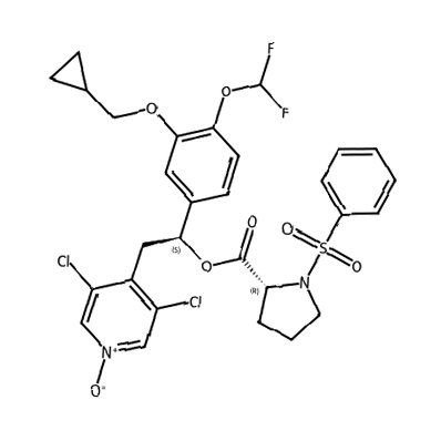 O=C(O[C@@H](Cc1c(Cl)c[n+]([O-])cc1Cl)c1ccc(OC(F)F)c(OCC2CC2)c1)[C@H]1CCCN1S(=O)(=O)c1ccccc1